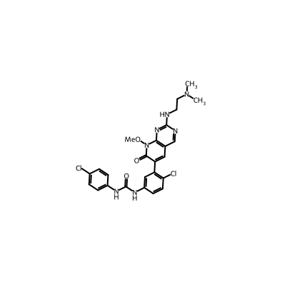 COn1c(=O)c(-c2cc(NC(=O)Nc3ccc(Cl)cc3)ccc2Cl)cc2cnc(NCCN(C)C)nc21